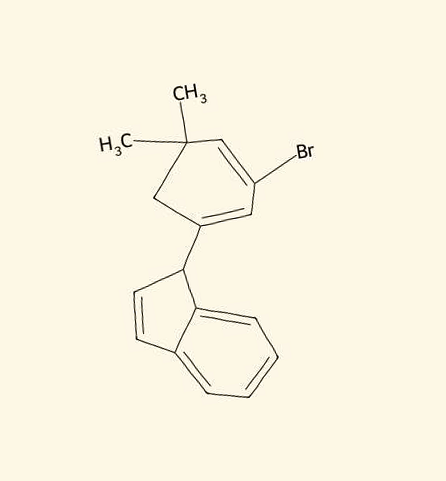 CC1(C)C=C(Br)C=C(C2C=Cc3ccccc32)C1